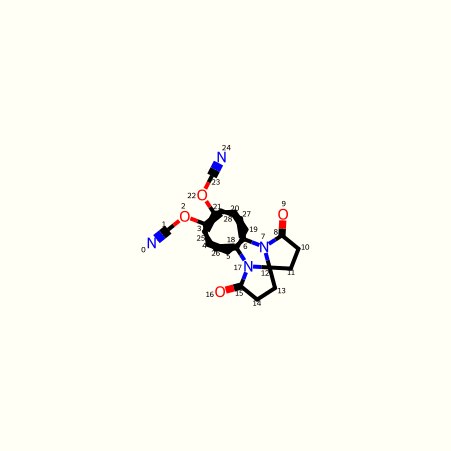 N#COc1ccc(N2C(=O)CCC23CCC(=O)N3c2ccc(OC#N)cc2)cc1